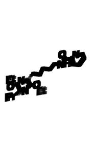 CCOC1=N[C@H](CCCCCNC(=O)c2ccccn2)C(OCC)=N[C@H]1C(C)C